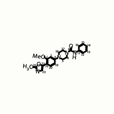 COc1cc(N2CCN(C(=O)Nc3ccccc3)CC2)ccc1-c1cnc(C)o1